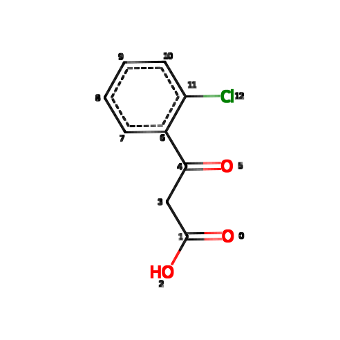 O=C(O)CC(=O)c1ccccc1Cl